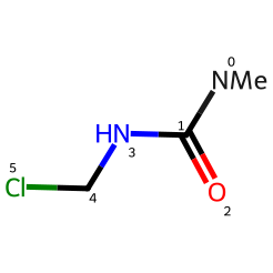 CNC(=O)NCCl